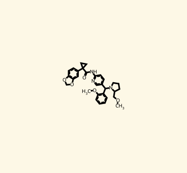 COCC1CCCN1C(c1ccc(NC(=O)C2(c3ccc4c(c3)OCO4)CC2)nc1)c1ccccc1OC